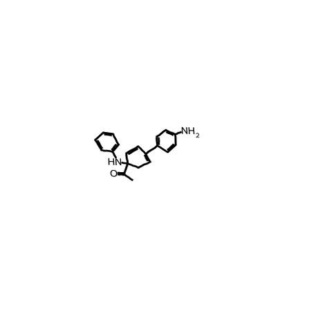 CC(=O)C1(Nc2ccccc2)C=CC(c2ccc(N)cc2)=CC1